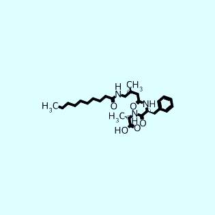 CCCCCCCCCC(=O)NC[C@@H](C)CC(=O)N[C@@H](Cc1ccccc1)C(=O)N[C@@H](C)C(=O)O